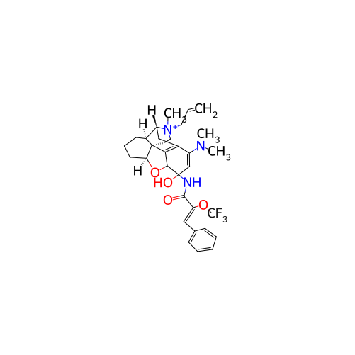 C=CC[N+]1(C)CC[C@@]23C4=C5C[C@@H]1[C@@H]2CCC[C@@H]3OC4C(O)(NC(=O)C(=Cc1ccccc1)OC(F)(F)F)C=C5N(C)C